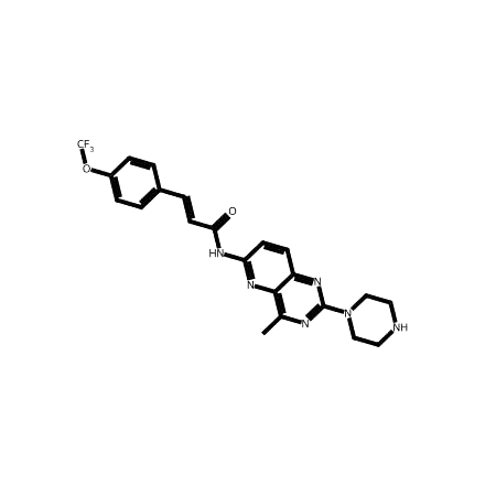 Cc1nc(N2CCNCC2)nc2ccc(NC(=O)C=Cc3ccc(OC(F)(F)F)cc3)nc12